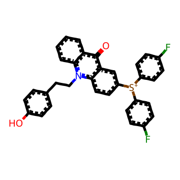 O=c1c2ccccc2n(CCc2ccc(O)cc2)c2ccc([S+](c3ccc(F)cc3)c3ccc(F)cc3)cc12